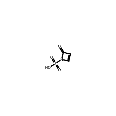 O=C1C=CN1S(=O)(=O)O